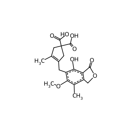 COc1c(C)c2c(c(O)c1CC1=C(C)CC(C(=O)O)(C(=O)O)C1)C(=O)OC2